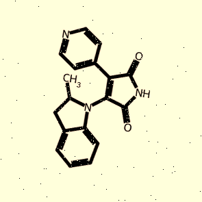 CC1Cc2ccccc2N1C1=C(c2ccncc2)C(=O)NC1=O